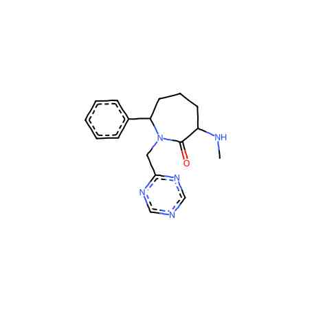 CNC1CCCC(c2ccccc2)N(Cc2ncncn2)C1=O